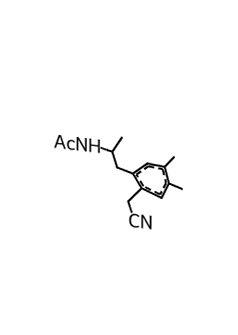 CC(=O)NC(C)Cc1cc(C)c(C)cc1CC#N